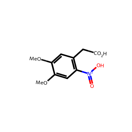 COc1cc(CC(=O)O)c([N+](=O)O)cc1OC